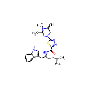 C=C1CN(c2nnc(C(=O)NC(CCC(C)C)Cc3c[nH]c4ccccc34)s2)CC(C)N1C